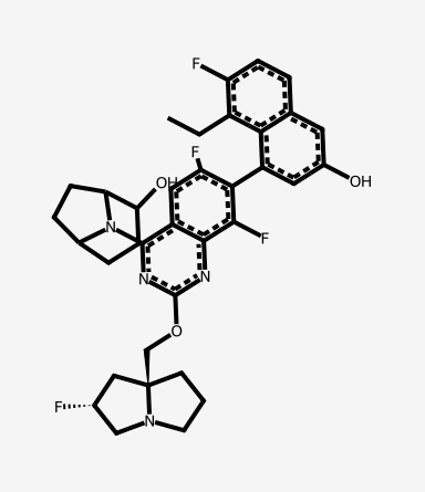 CCc1c(F)ccc2cc(O)cc(-c3c(F)cc4c(N5C6CCC(O)C5CC6)nc(OC[C@@]56CCCN5C[C@H](F)C6)nc4c3F)c12